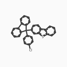 Clc1ccc(C2(c3ccc4c(c3)sc3ccccc34)c3ccccc3-c3ccccc32)cc1